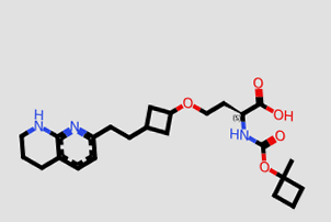 CC1(OC(=O)N[C@@H](CCOC2CC(CCc3ccc4c(n3)NCCC4)C2)C(=O)O)CCC1